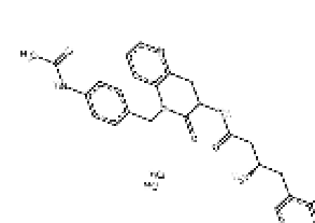 CC(=O)Nc1ccc(CN2C(=O)C(NC(=O)C[C@H](N)Cc3ccccc3F)Cc3ncccc32)cc1.Cl.Cl